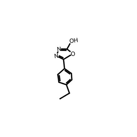 CCc1ccc(-c2nnc(O)o2)cc1